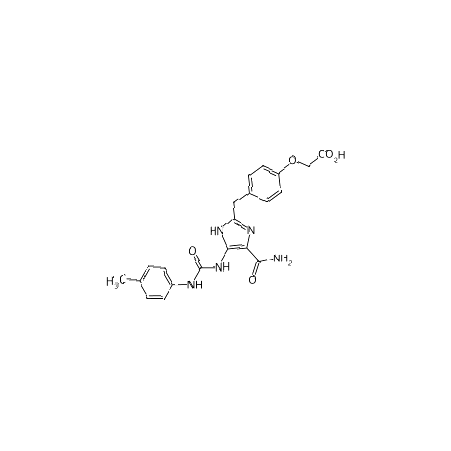 Cc1ccc(NC(=O)Nc2[nH]c(Cc3ccc(OCC(=O)O)cc3)nc2C(N)=O)cc1